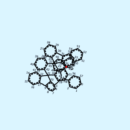 c1ccc(N(c2cccc3c2C2(c4ccccc4-3)c3ccccc3C3(c4ccccc4-c4ccccc43)c3ccccc32)c2cccc3c2sc2ccccc23)cc1